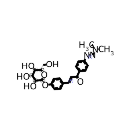 CN(C)/N=N/c1ccc(C(=O)/C=C/c2ccc(O[C@H]3O[C@@H](CO)[C@H](O)[C@@H](O)[C@@H]3O)cc2)cc1